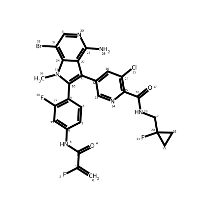 C=C(F)C(=O)Nc1ccc(-c2c(-c3cnc(C(=O)NCC4(F)CC4)c(Cl)c3)c3c(N)ncc(Br)c3n2C)c(F)c1